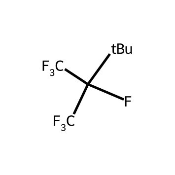 CC(C)(C)C(F)(C(F)(F)F)C(F)(F)F